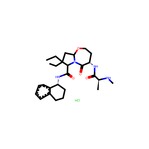 CCC1(CC)CC2OCC[C@H](NC(=O)[C@H](C)NC)C(=O)N2C1C(=O)N[C@@H]1CCCc2ccccc21.Cl